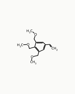 C=Cc1cc(COC)c(COC)c(COC)c1